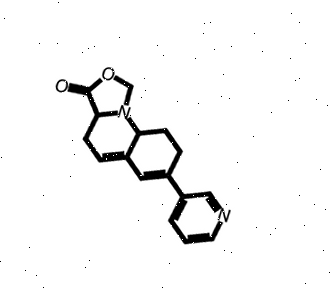 O=C1OCN2C1CC=C1C=C(c3cccnc3)CCC12